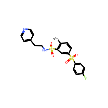 CCCc1ccc(S(=O)(=O)c2ccc(F)cc2)cc1S(=O)(=O)NCCc1ccncc1